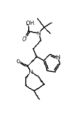 CC1CCN(C(=O)C(CCN(C(=O)O)C(C)(C)C)c2cccnc2)CC1